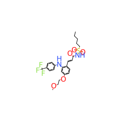 CCCCCS(=O)(=O)NC(=O)C=Cc1ccc(OCCOC)cc1Nc1ccc(C(F)(F)F)cc1